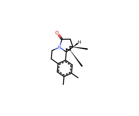 Cc1cc2c(cc1C)[C@@]13C[C@H](C)[C@@H](C)[C@@H]1CC(=O)N3CC2